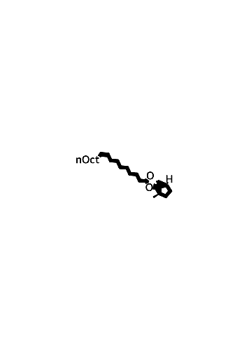 CCCCCCCC/C=C\CCCCCCCC(=O)OC1C[C@H]2CC[C@@]1(C)C2(C)C